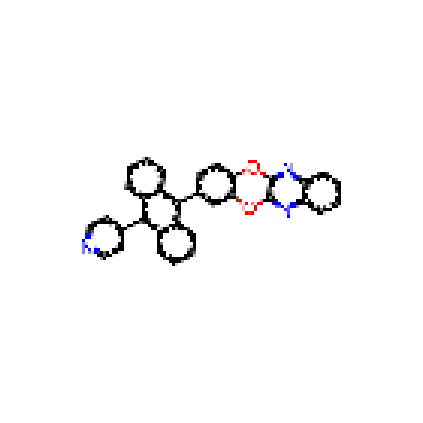 c1ccc2nc3c(nc2c1)Oc1ccc(-c2c4ccccc4c(-c4ccncc4)c4ccccc24)cc1O3